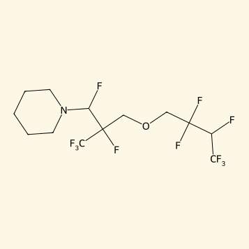 FC(C(F)(F)F)C(F)(F)COCC(F)(C(F)N1CCCCC1)C(F)(F)F